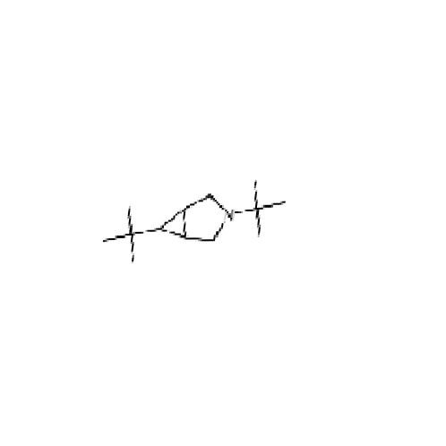 CC(C)(C)C1C2CN(C(C)(C)C)CC21